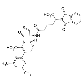 Cc1cc(C)nc(C2=C(C(=O)O)N3C(=O)[C@@](C=S)(NC(=O)CCCC(C(=O)O)N4C(=O)c5ccccc5C4=O)[C@@H]3SC2)n1